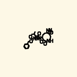 CC(C)C(NC(=O)OCc1ccccc1)C(=O)NC1CCc2nnoc2CCNC(=O)C1=O